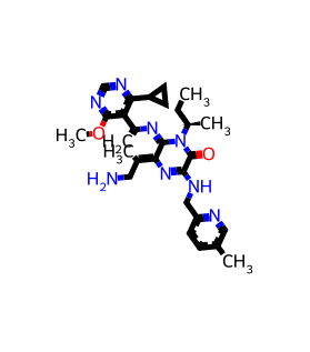 C=C(/N=C1\C(=C(/C)CN)N=C(NCc2ccc(C)cn2)C(=O)N1[C@H](C)CC)c1c(OC)ncnc1C1CC1